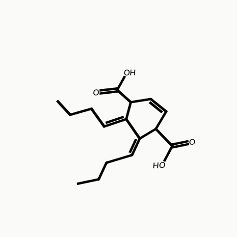 CCCC=C1C(=CCCC)C(C(=O)O)C=CC1C(=O)O